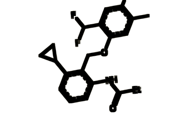 CCC(=O)Nc1cccc(C2CC2)c1COc1cc(C)c(CC)cc1C(F)F